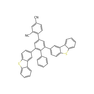 N#Cc1ccc(-c2cc(-c3ccc4sc5ccccc5c4c3)c(-c3ccccc3)c(-c3ccc4sc5ccccc5c4c3)c2)c(C#N)c1